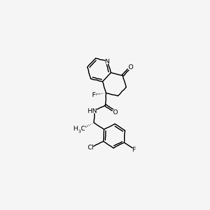 C[C@H](NC(=O)[C@]1(F)CCC(=O)c2ncccc21)c1ccc(F)cc1Cl